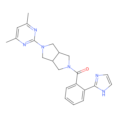 Cc1cc(C)nc(N2CC3CN(C(=O)c4ccccc4-c4ncc[nH]4)CC3C2)n1